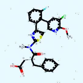 COc1ncc(-c2c(F)cccc2-c2csc(N(C)C(=O)[C@@H](CC(=O)O)Cc3ccccc3)n2)cc1Cl